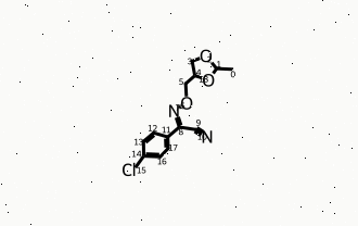 CC1OCC(CON=C(C#N)c2ccc(Cl)cc2)O1